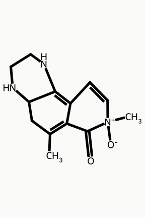 CC1=C2C(=O)[N+](C)([O-])C=CC2=C2NCCNC2C1